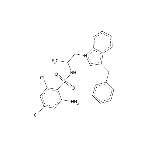 Nc1cc(Cl)cc(Cl)c1S(=O)(=O)NC(Cn1cc(Cc2ccccc2)c2ccccc21)C(F)(F)F